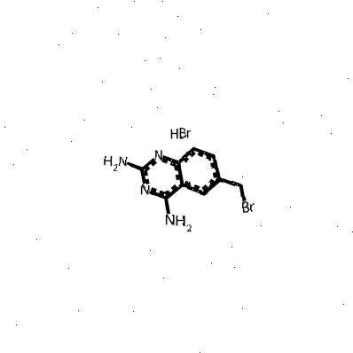 Br.Nc1nc(N)c2cc(CBr)ccc2n1